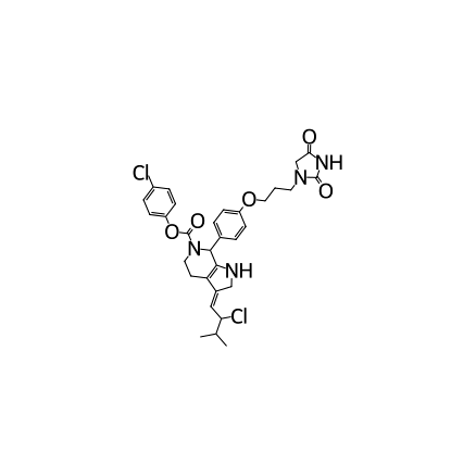 CC(C)C(Cl)/C=C1\CNC2=C1CCN(C(=O)Oc1ccc(Cl)cc1)C2c1ccc(OCCCN2CC(=O)NC2=O)cc1